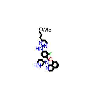 COCCCc1ccnc(Nc2ccc(C(=O)N(c3nccc4cccc(C)c34)[C@@H]3CCCNC3)c(F)c2)n1